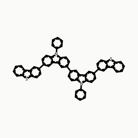 c1ccc(-n2c3ccc(-c4ccc5sc6ccccc6c5c4)cc3c3cc(-c4ccc5c(c4)c4cc(-c6ccc7sc8ccccc8c7c6)ccc4n5-c4ccccc4)ccc32)cc1